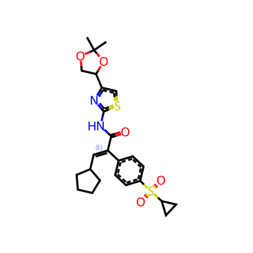 CC1(C)OCC(c2csc(NC(=O)/C(=C/C3CCCC3)c3ccc(S(=O)(=O)C4CC4)cc3)n2)O1